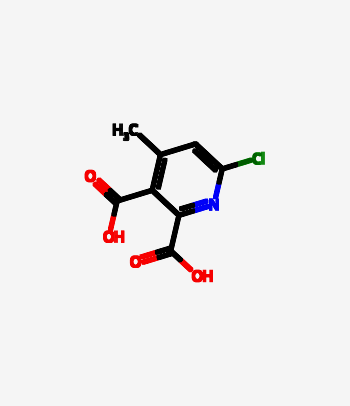 Cc1cc(Cl)nc(C(=O)O)c1C(=O)O